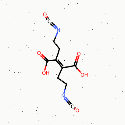 O=C=NCCC(C(=O)O)=C(CCN=C=O)C(=O)O